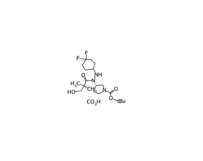 CC(C)(C)OC(=O)N1C[C@@H](N(NC2CCC(F)(F)CC2)C(=O)C(C)(C)CO)C[C@H]1C(=O)O